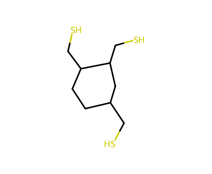 SCC1CCC(CS)C(CS)C1